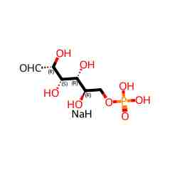 O=C[C@H](O)[C@@H](O)[C@H](O)[C@H](O)COP(=O)(O)O.[NaH]